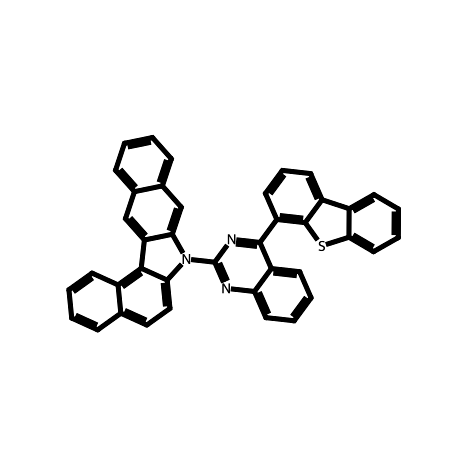 c1ccc2cc3c(cc2c1)c1c2ccccc2ccc1n3-c1nc(-c2cccc3c2sc2ccccc23)c2ccccc2n1